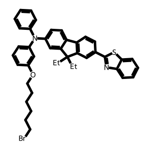 CCC1(CC)c2cc(-c3nc4ccccc4s3)ccc2-c2ccc(N(c3ccccc3)c3cccc(OCCCCCCBr)c3)cc21